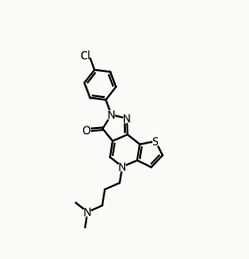 CN(C)CCCn1cc2c(=O)n(-c3ccc(Cl)cc3)nc-2c2sccc21